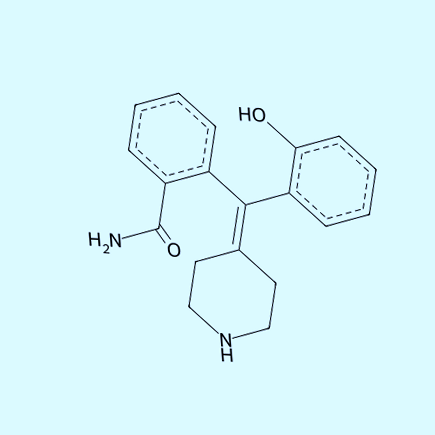 NC(=O)c1ccccc1C(=C1CCNCC1)c1ccccc1O